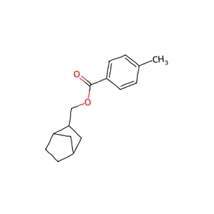 Cc1ccc(C(=O)OCC2CC3CCC2C3)cc1